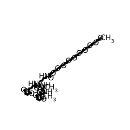 COCCOCCOCCOCCOCCOCCOCCOCCOCCOCC(=O)NCCCC[C@H](NC(=O)CCCN1C(=O)C=CC1=O)C(=O)N[C@@H](C)C(=O)N[C@@H](C)C(=O)N1C(=O)CCC1=O